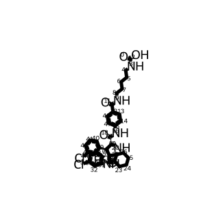 O=C(O)NCCCCCNC(=O)c1ccc(NC(=O)[C@@H]2NC3(CCCCC3)[C@@]3(C(=O)Nc4cc(Cl)ccc43)[C@H]2c2cccc(Cl)c2F)cc1